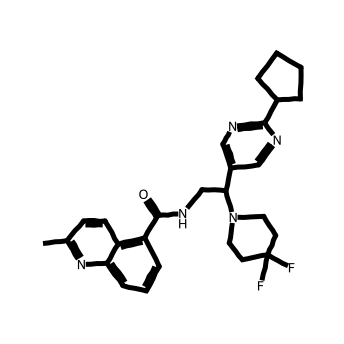 Cc1ccc2c(C(=O)NCC(c3cnc(C4CCCC4)nc3)N3CCC(F)(F)CC3)cccc2n1